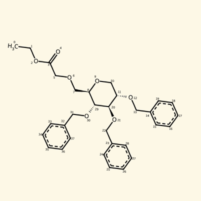 CCOC(=O)COC[C@H]1OC[C@H](OCc2ccccc2)[C@@H](OCc2ccccc2)[C@@H]1OCc1ccccc1